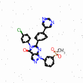 CS(=O)(=O)c1cccc(-n2ncc3c(=O)n(-c4ccc(Cl)cc4)c(-c4ccc(-c5cncnc5)cc4)nc32)c1